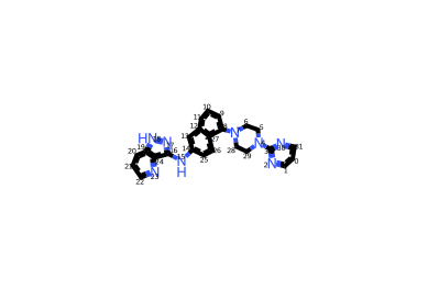 c1cnc(N2CCN(c3cccc4cc(Nc5n[nH]c6cccnc56)ccc34)CC2)nc1